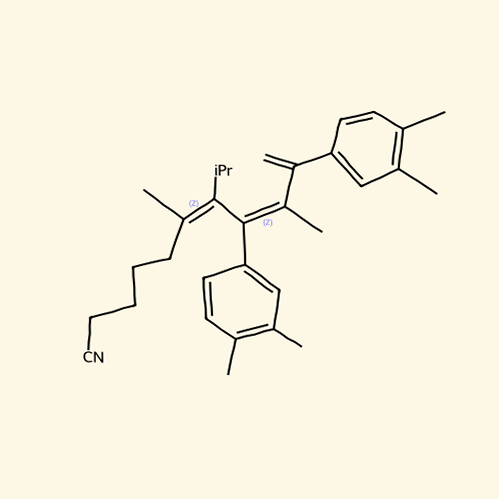 C=C(/C(C)=C(\C(=C(\C)CCCCC#N)C(C)C)c1ccc(C)c(C)c1)c1ccc(C)c(C)c1